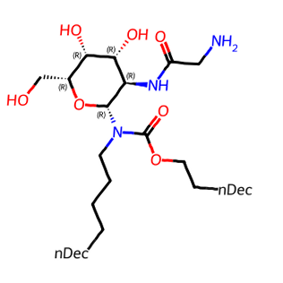 CCCCCCCCCCCCCCN(C(=O)OCCCCCCCCCCCC)[C@@H]1O[C@H](CO)[C@H](O)[C@H](O)[C@H]1NC(=O)CN